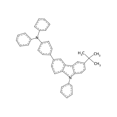 CC(C)(C)c1ccc2c(c1)c1cc(-c3ccc(N(c4ccccc4)c4ccccc4)cc3)ccc1n2-c1ccccc1